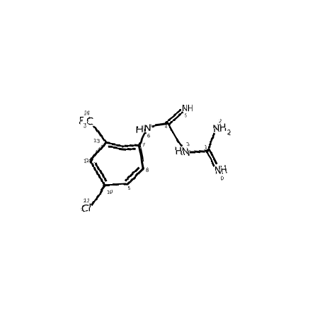 N=C(N)NC(=N)Nc1ccc(Cl)cc1C(F)(F)F